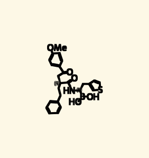 COc1ccc(C(=O)C[C@H](CCc2ccccc2)C(=O)N[C@@H](Cc2ccsc2)B(O)O)cc1